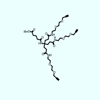 C#CCOCCOCCNC(=O)CCC(CCC(=O)NCCOCCOCC#C)(CCC(=O)NCCOCCOCC#C)NC(=O)CCCC(=O)OC